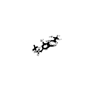 CC(C)(C)NS(=O)(=O)Cc1cc(Br)c(NC(=O)C(F)(F)F)c(Br)c1